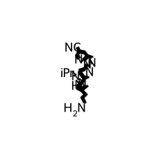 CC(C)Nc1cc(-n2ncc3cc(C#N)cnc32)ncc1-n1cc(CCCN)cn1